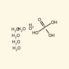 O.O.O.O.O.O.O=P(O)(O)O